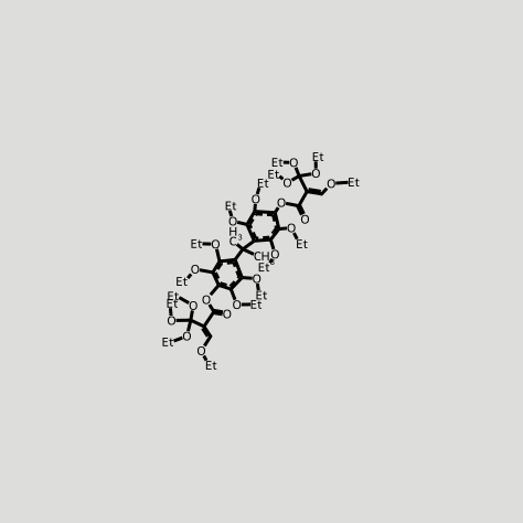 CCOC=C(C(=O)Oc1c(OCC)c(OCC)c(C(C)(C)c2c(OCC)c(OCC)c(OC(=O)C(=COCC)C(OCC)(OCC)OCC)c(OCC)c2OCC)c(OCC)c1OCC)C(OCC)(OCC)OCC